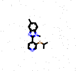 Cc1ccc2c(c1)nc(-c1ccncc1SC(C)C)n2C